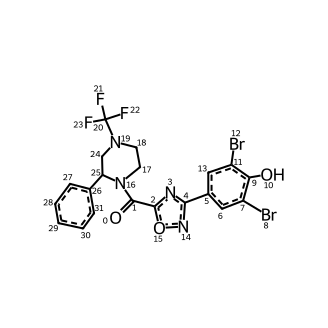 O=C(c1nc(-c2cc(Br)c(O)c(Br)c2)no1)N1CCN(C(F)(F)F)CC1c1ccccc1